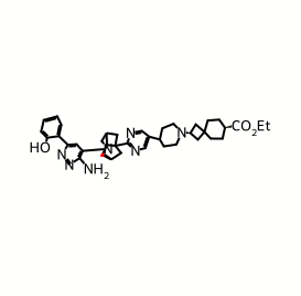 CCOC(=O)[C@H]1CCC2(CC1)C[C@H](N1CCC(c3cnc(C45CC6CC4C(CN(c4cc(-c7ccccc7O)nnc4N)C6)C5)nc3)CC1)C2